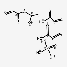 C=CC(=O)O.C=CC(=O)O.C=CC(=O)OC(C)O.O=P(O)(O)O